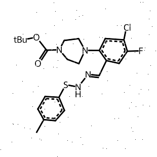 Cc1ccc(SN/N=C/c2cc(F)c(Cl)cc2N2CCN(C(=O)OC(C)(C)C)CC2)cc1